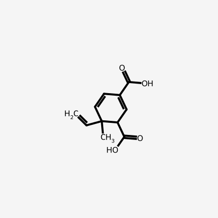 C=CC1(C)C=CC(C(=O)O)=CC1C(=O)O